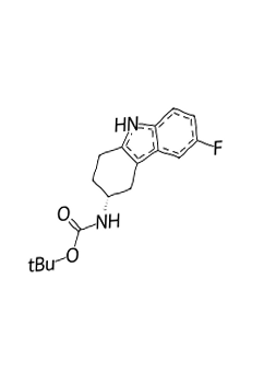 CC(C)(C)OC(=O)N[C@@H]1CCc2[nH]c3ccc(F)cc3c2C1